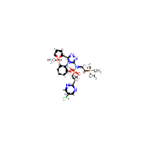 COc1cccc(OC)c1-n1c(-c2ccco2)nnc1N(CCS(C)(C)C)S(=O)(=O)CCc1ncc(Cl)cn1